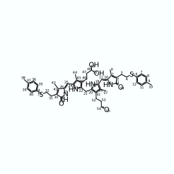 CC1=C(CCSc2ccc(C)cc2)C(=O)N/C1=C\c1[nH]c(Cc2[nH]c(/C=C3\NC(=O)C(CCSc4ccc(C)cc4)=C3C)c(C)c2CCC(O)O)c(CCC=O)c1C